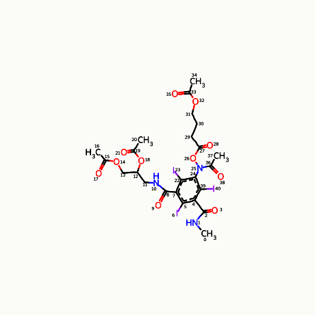 CNC(=O)c1c(I)c(C(=O)NCC(COC(C)=O)OC(C)=O)c(I)c(N(OC(=O)CCCOC(C)=O)C(C)=O)c1I